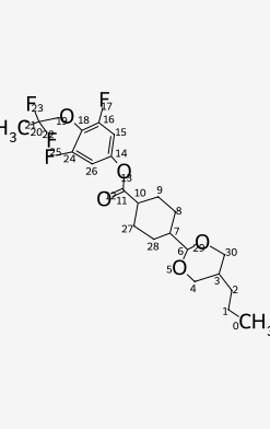 CCCC1COC(C2CCC(C(=O)Oc3cc(F)c(OC(C)(F)F)c(F)c3)CC2)OC1